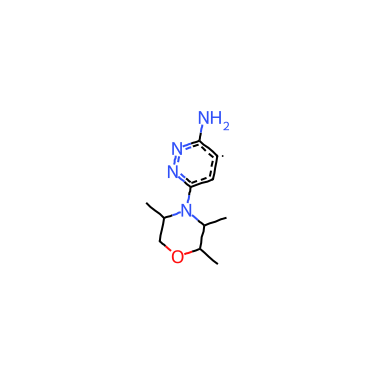 CC1OCC(C)N(c2c[c]c(N)nn2)C1C